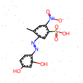 Cc1cc([N+](=O)[O-])c(S(=O)(=O)O)cc1N=Nc1ccc(O)cc1O